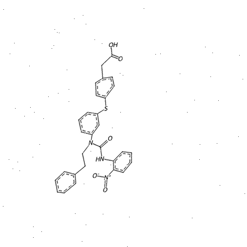 O=C(O)Cc1ccc(Sc2cccc(N(CCc3ccccc3)C(=O)Nc3ccccc3[N+](=O)[O-])c2)cc1